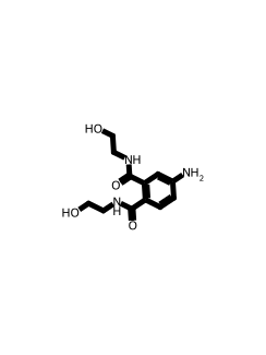 Nc1ccc(C(=O)NCCO)c(C(=O)NCCO)c1